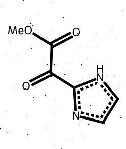 COC(=O)C(=O)c1ncc[nH]1